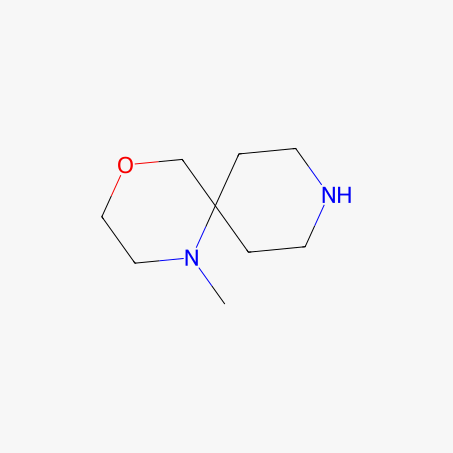 CN1CCOCC12CCNCC2